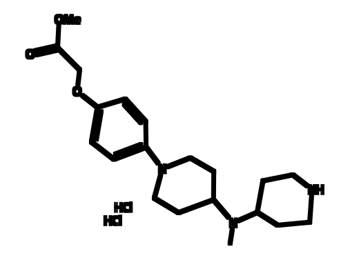 COC(=O)COc1ccc(N2CCC(N(C)C3CCNCC3)CC2)cc1.Cl.Cl